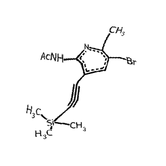 CC(=O)Nc1nc(C)c(Br)cc1C#C[Si](C)(C)C